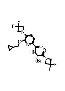 CC(C)(C)[C@H](NC(=O)c1ccc(N2CC(F)(F)C2)c(OCC2CC2)n1)C(=O)N1CC(F)(F)C1